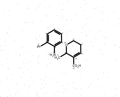 CC(C)c1ccccc1N.CC1OCCC=C1C(=O)O